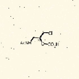 CC(=O)NC[C@@H](CCl)OC(=O)O